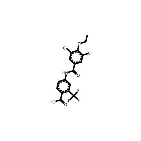 CCOc1c(Cl)cc(C(=O)Nc2ccc(C(=O)O)c(C(F)(F)F)c2)cc1Cl